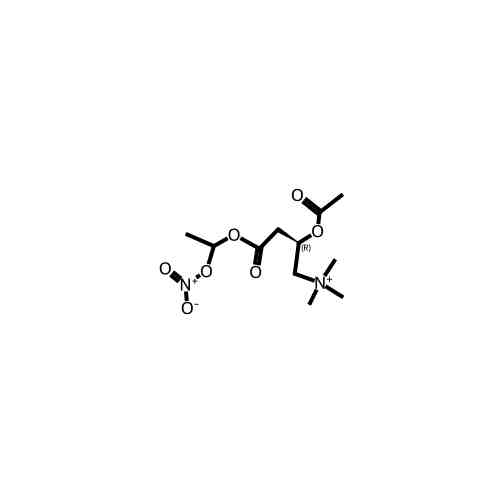 CC(=O)O[C@H](CC(=O)OC(C)O[N+](=O)[O-])C[N+](C)(C)C